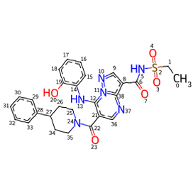 CCS(=O)(=O)NC(=O)c1cnn2c(Nc3ccccc3O)c(C(=O)N3CCC(c4ccccc4)CC3)cnc12